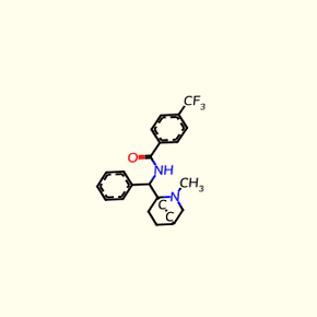 CN1CC2CCC1(C(NC(=O)c1ccc(C(F)(F)F)cc1)c1ccccc1)CC2